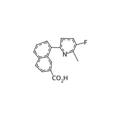 Cc1nc(-c2cccc3ccc(C(=O)O)cc23)ccc1F